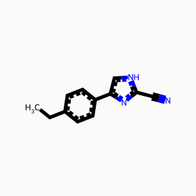 CCc1ccc(-c2c[nH]c(C#N)n2)cc1